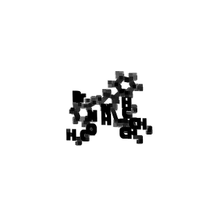 COc1ccc(Br)c(CC(CCc2ccccc2)NCCC(C)(C)C)n1